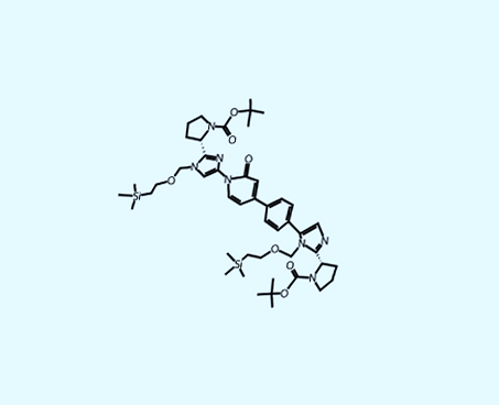 CC(C)(C)OC(=O)N1CCC[C@H]1c1nc(-n2ccc(-c3ccc(-c4cnc([C@@H]5CCCN5C(=O)OC(C)(C)C)n4COCC[Si](C)(C)C)cc3)cc2=O)cn1COCC[Si](C)(C)C